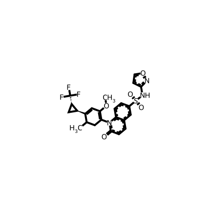 COC1=C(n2c(=O)ccc3cc(S(=O)(=O)Nc4ccon4)ccc32)CC(C)C([C@H]2C[C@@H]2C(F)(F)F)=C1